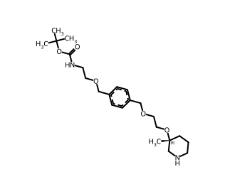 CC(C)(C)OC(=O)NCCOCc1ccc(COCCO[C@]2(C)CCCNC2)cc1